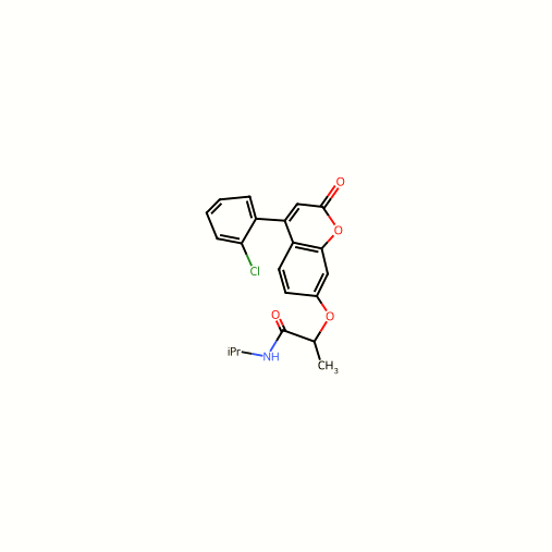 CC(C)NC(=O)C(C)Oc1ccc2c(-c3ccccc3Cl)cc(=O)oc2c1